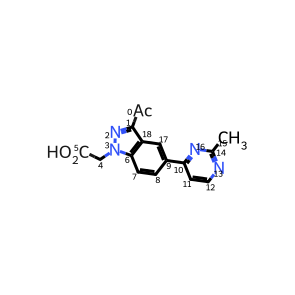 CC(=O)c1nn(CC(=O)O)c2ccc(-c3ccnc(C)n3)cc12